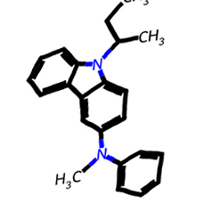 CCC(C)n1c2ccccc2c2cc(N(C)c3ccccc3)ccc21